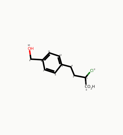 O=C(O)C(Cl)CCc1ccc(CO)cc1